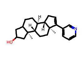 C[C@]12CC(O)CC1CC[C@@H]1[C@@H]2CC[C@]2(C)C(c3cccnc3)=CC[C@@H]12